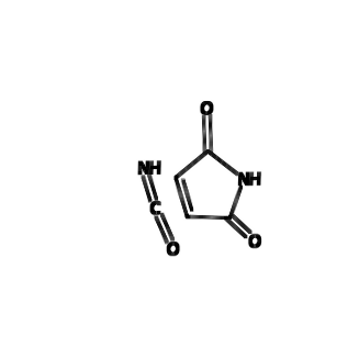 N=C=O.O=C1C=CC(=O)N1